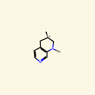 CC(=O)N1C[C@H](C)Cc2ccncc21